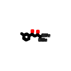 COC(OC)C(=O)CC(=O)c1cccc(C)c1